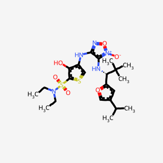 CCN(CC)S(=O)(=O)c1scc(Nc2no[n+]([O-])c2N[C@@H](c2cc(C(C)C)co2)C(C)(C)C)c1O